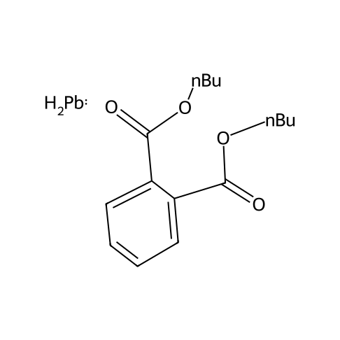 CCCCOC(=O)c1ccccc1C(=O)OCCCC.[PbH2]